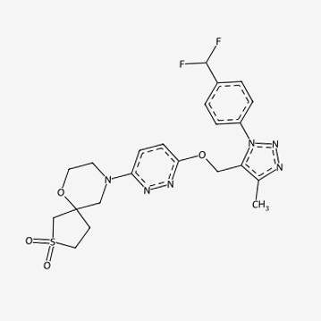 Cc1nnn(-c2ccc(C(F)F)cc2)c1COc1ccc(N2CCOC3(CCS(=O)(=O)C3)C2)nn1